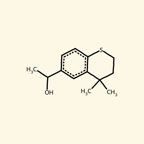 CC(O)c1ccc2c(c1)C(C)(C)CCS2